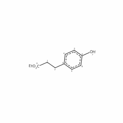 CCOC(=O)[CH]Cc1ccc(O)cc1